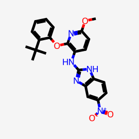 COc1ccc(Nc2nc3cc([N+](=O)[O-])ccc3[nH]2)c(Oc2ccccc2C(C)(C)C)n1